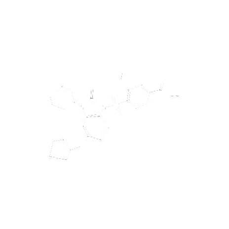 COC(=O)c1ccc(S(=O)(=O)n2c(=O)n(C3CCCCC3)c3cc(OC4CCCC4)ccc32)c(OC)c1